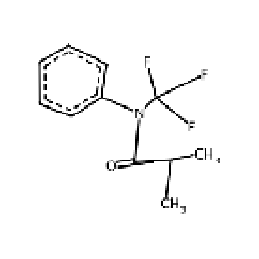 CC(C)C(=O)N(c1ccccc1)C(F)(F)F